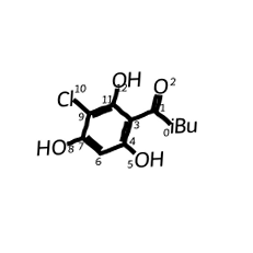 CCC(C)C(=O)c1c(O)cc(O)c(Cl)c1O